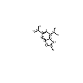 Cc1nc2c(C(C)C)cc(C(C)C)nc2o1